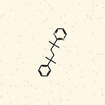 CC(C)(CCC(C)(C)c1ncccn1)c1ccccc1